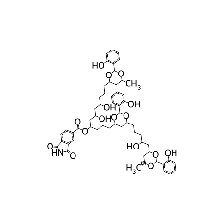 CC1CC(CCCC(O)CC(O)CC(CCCC2CC(CCCC(O)CC3C[C@H](C)OC(c4ccccc4O)O3)OC(c3ccccc3O)O2)OC(=O)c2ccc3c(c2)C(=O)NC3=O)OC(c2ccccc2O)O1